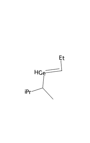 [CH2]C[CH]=[GeH][CH](C)C(C)C